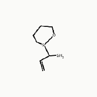 C=CC([SiH3])[Si]1CCCCO1